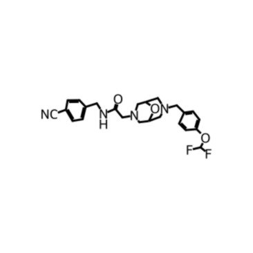 N#Cc1ccc(CNC(=O)CN2CC3CN(Cc4ccc(OC(F)F)cc4)CC(C2)O3)cc1